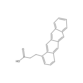 O=C(O)CCc1cccc2cc3cc4ccccc4cc3cc12